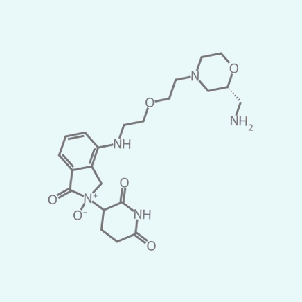 NC[C@@H]1CN(CCOCCNc2cccc3c2C[N+]([O-])(C2CCC(=O)NC2=O)C3=O)CCO1